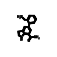 NCc1ccccc1-c1cc(C(N)=O)c2[nH]ccc2c1